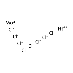 [Cl-].[Cl-].[Cl-].[Cl-].[Cl-].[Cl-].[Cl-].[Cl-].[Hf+4].[Mo+4]